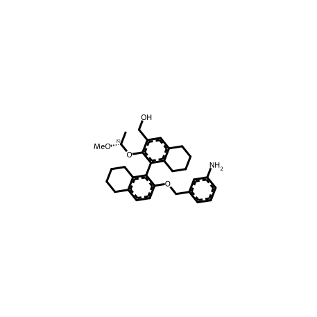 CO[C@H](C)Oc1c(CO)cc2c(c1-c1c(OCc3cccc(N)c3)ccc3c1CCCC3)CCCC2